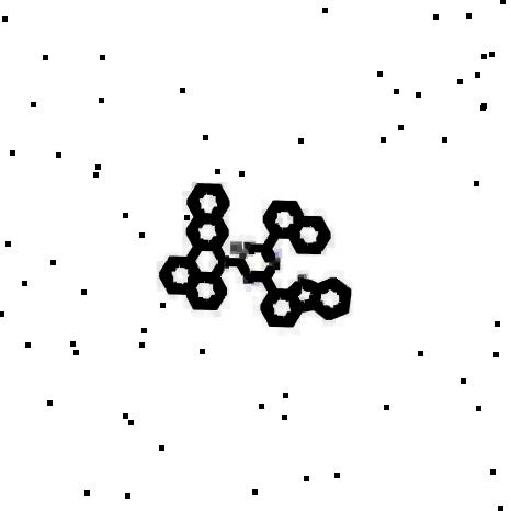 N/C(=N\C(=N/CN1c2cc3ccccc3cc2-c2cccc3cccc1c23)c1cccc2c1sc1ccccc12)c1cccc2ccccc12